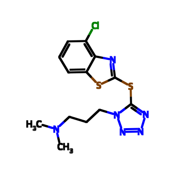 CN(C)CCCn1nnnc1Sc1nc2c(Cl)cccc2s1